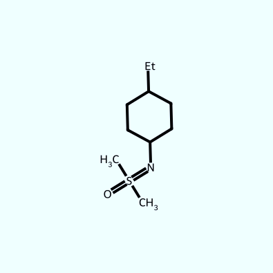 CCC1CCC(N=S(C)(C)=O)CC1